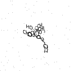 CC(C)(C(=O)O)N1CC(=O)N(Cc2ccc(Cl)cc2)c2ccc(OCCC3CCNCC3)cc2C1=O